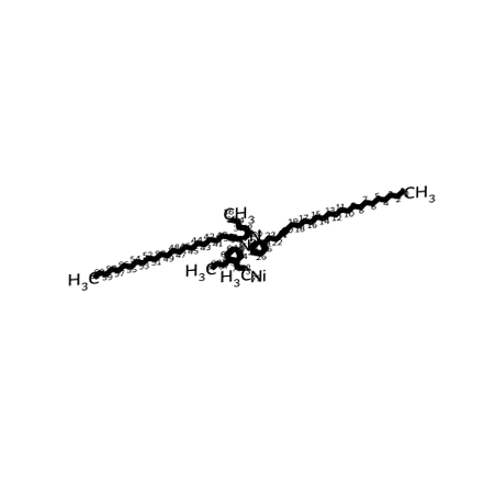 CCCCCCCCCCCCCCCCCCCCC#CCCc1ccccc1N=C(CCCCC)C(C#CCCCCCCCCCCCCCCCCCCCCCC)=Nc1ccc(CCC)c(CCC)c1.[Ni]